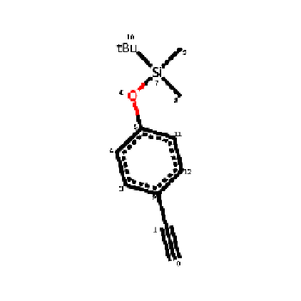 C#Cc1ccc(O[Si](C)(C)C(C)(C)C)cc1